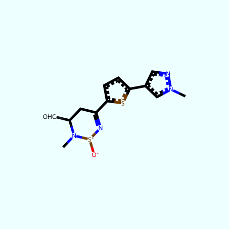 CN1C(C=O)CC(c2ccc(-c3cnn(C)c3)s2)=N[S+]1[O-]